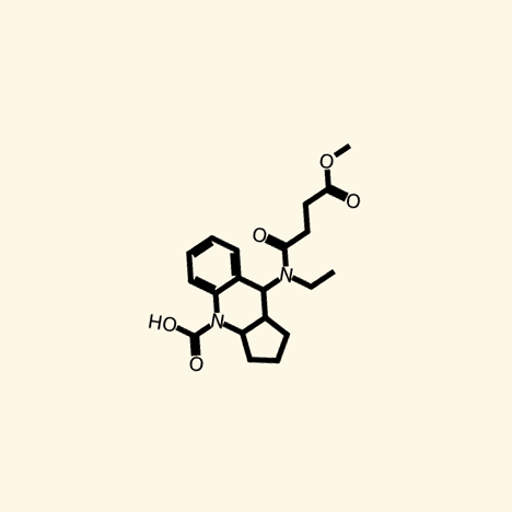 CCN(C(=O)CCC(=O)OC)C1c2ccccc2N(C(=O)O)C2CCCC12